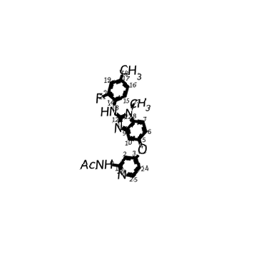 CC(=O)Nc1cc(Oc2ccc3c(c2)nc(Nc2ccc(C)cc2F)n3C)ccn1